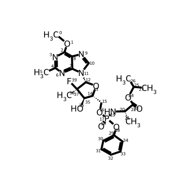 COc1nc(C)nc2c1ncn2[C@@H]1O[C@H](COP(=O)(N[C@@H](C)C(=O)OC(C)C)Oc2ccccc2)[C@@H](O)[C@@]1(C)F